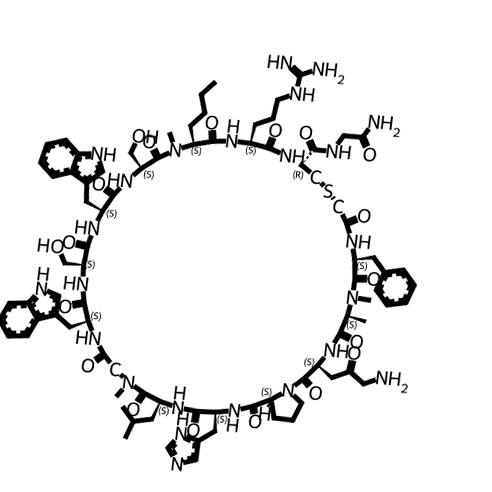 CCCC[C@H]1C(=O)N[C@@H](CCCNC(=N)N)C(=O)N[C@H](C(=O)NCC(N)=O)CSCC(=O)N[C@@H](Cc2ccccc2)C(=O)N(C)[C@@H](C)C(=O)N[C@@H](CC(=O)CN)C(=O)N2CCC[C@H]2C(=O)N[C@@H](Cc2cnc[nH]2)C(=O)N[C@@H](CC(C)C)C(=O)N(C)CC(=O)N[C@@H](Cc2c[nH]c3ccccc23)C(=O)N[C@@H](CO)C(=O)N[C@@H](Cc2c[nH]c3ccccc23)C(=O)N[C@@H](CO)C(=O)N1C